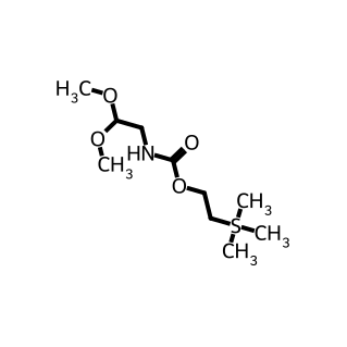 COC(CNC(=O)OCCS(C)(C)C)OC